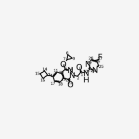 O=C(Cn1nc(OC2CC2)c2cc(C3CCC3)ccc2c1=O)Nc1ncc(F)cn1